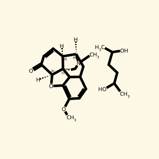 CC(O)CCC(C)O.COC1=C2O[C@H]3C(=O)C=C[C@H]4[C@H]5CC(C=C1)C2[C@@]34CCN5C